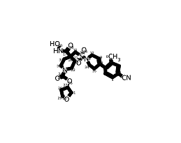 Cc1cc(C#N)ccc1C1=CCN(S(=O)(=O)CC2(C(=O)NO)CCN(C(=O)O[C@H]3CCOC3)CC2)CC1